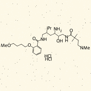 CNCCC(C)(C)C(=O)NCC(O)C(N)CC(CNC(=O)c1ccccc1OCCCCOC)C(C)C.Cl.Cl